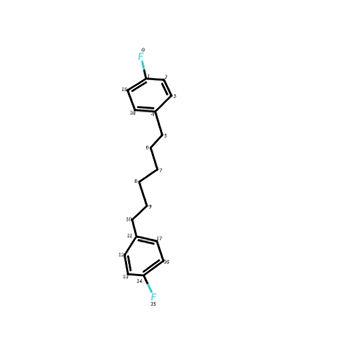 Fc1ccc(CCCCCCc2ccc(F)cc2)cc1